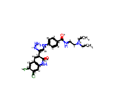 CCN(CC)CCNC(=O)c1ccc(N/C=C(\N=N)c2cc3cc(F)c(Cl)cc3[nH]c2=O)cc1